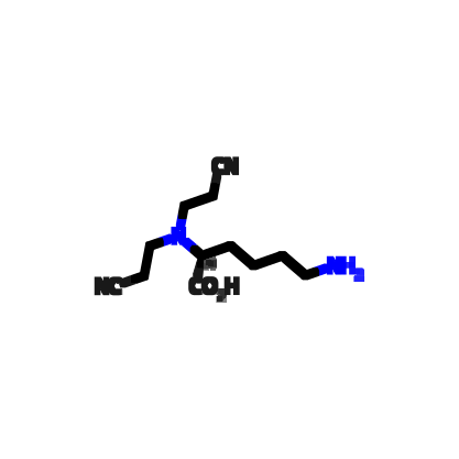 N#CCCN(CCC#N)[C@@H](CCCCN)C(=O)O